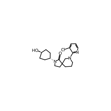 O=C1N([C@H]2CC[C@H](O)CC2)CCC12CCCN(c1ncccc1Cl)C2